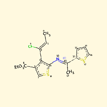 CC=C(Cl)c1c(C(=O)OCC)csc1/N=C(\C)c1cccs1